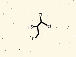 SC(CCl)C(Cl)Cl